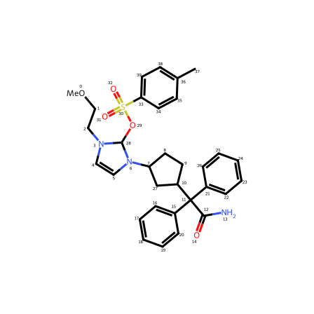 COCCN1C=CN(C2CCC(C(C(N)=O)(c3ccccc3)c3ccccc3)C2)C1OS(=O)(=O)c1ccc(C)cc1